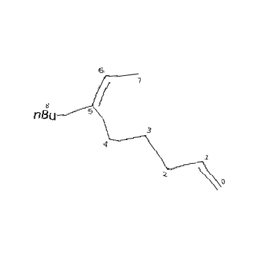 C=CCCCC(=CC)CCCC